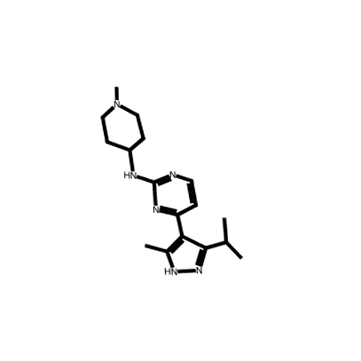 Cc1[nH]nc(C(C)C)c1-c1ccnc(NC2CCN(C)CC2)n1